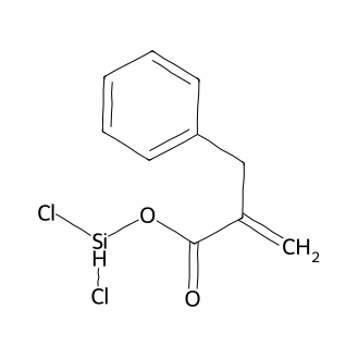 C=C(Cc1ccccc1)C(=O)O[SiH](Cl)Cl